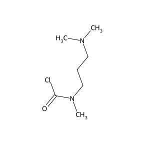 CN(C)CCCN(C)C(=O)Cl